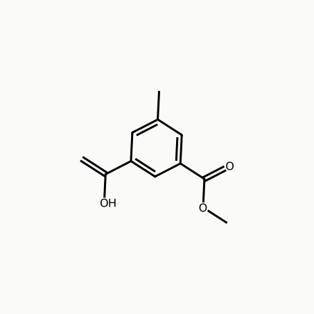 C=C(O)c1cc(C)cc(C(=O)OC)c1